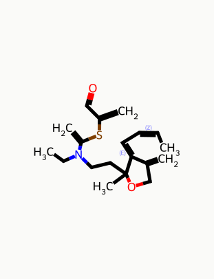 C=C(C=O)SC(=C)N(CC)CCC1(C)OCC(=C)/C1=C\C=C/C